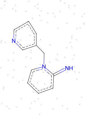 N=c1ccccn1Cc1cccnc1